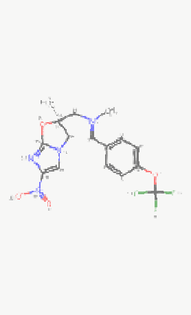 CN(Cc1ccc(OC(F)(F)F)cc1)C[C@@]1(C)Cn2cc([N+](=O)[O-])nc2O1